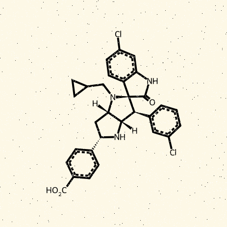 O=C(O)c1ccc([C@@H]2C[C@H]3[C@@H](N2)[C@H](c2cccc(Cl)c2)[C@]2(C(=O)Nc4cc(Cl)ccc42)N3CC2CC2)cc1